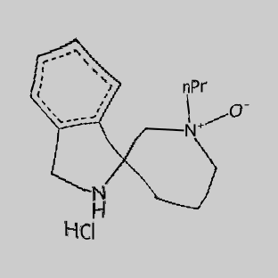 CCC[N+]1([O-])CCCC2(C1)NCc1ccccc12.Cl